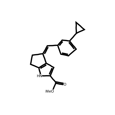 COC(=O)c1cc2c([nH]1)CCC2=Cc1cccc(C2CC2)c1